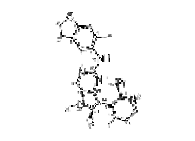 Cc1cc2c(cc1Nc1ncc3c(n1)n(-c1c(C)ccnc1C(C)C)c(=O)n3C)CCO2